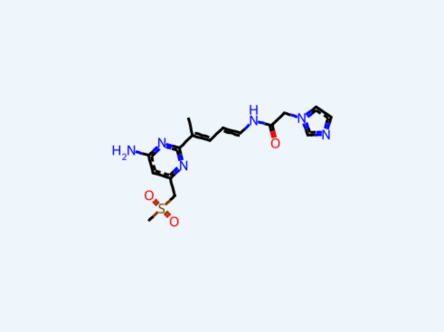 C/C(=C\C=C\NC(=O)Cn1ccnc1)c1nc(N)cc(CS(C)(=O)=O)n1